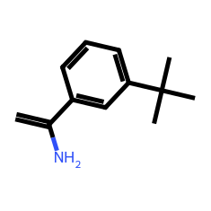 C=C(N)c1cccc(C(C)(C)C)c1